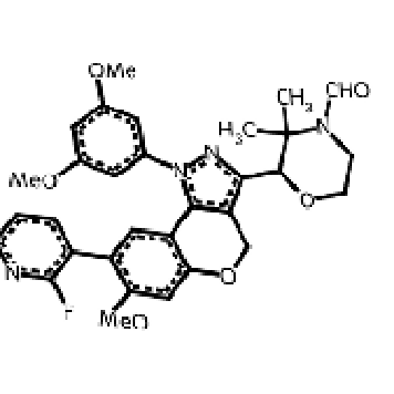 COc1cc(OC)cc(-n2nc(C3OCCN(C=O)C3(C)C)c3c2-c2cc(-c4cccnc4F)c(OC)cc2OC3)c1